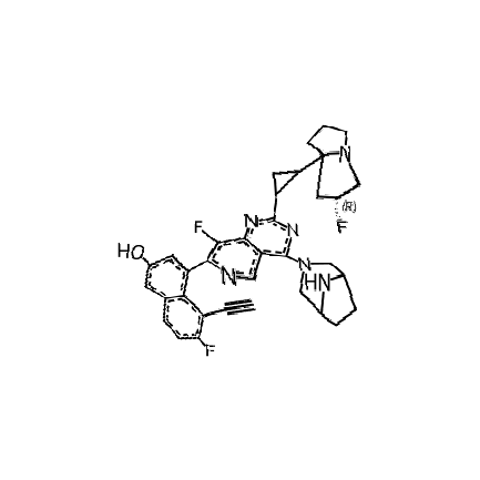 C#Cc1c(F)ccc2cc(O)cc(-c3ncc4c(N5CC6CCC(C5)N6)nc(C5CC5C56CCCN5C[C@H](F)C6)nc4c3F)c12